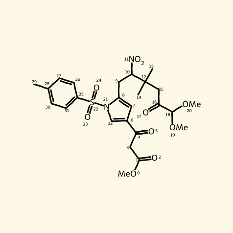 COC(=O)CC(=O)c1cc(CC([N+](=O)[O-])C(C)(C)CC(=O)C(OC)OC)n(S(=O)(=O)c2ccc(C)cc2)c1